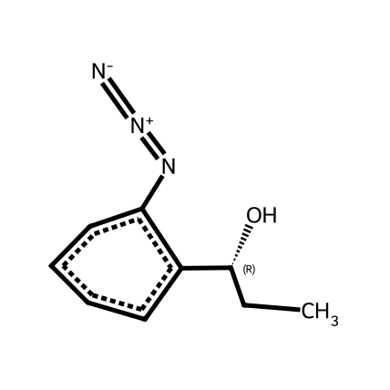 CC[C@@H](O)c1ccccc1N=[N+]=[N-]